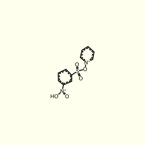 O=[N+](O)c1cccc(S(=O)(=O)O[n+]2ccccc2)c1